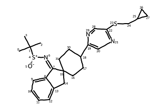 CC(C)(C)[S@@+]([O-])/N=C1\c2ccccc2CC12CCC(c1cnc(SCC3CC3)cn1)CC2